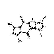 Cc1sc(C)c2c1C(=O)c1oc3c(Br)sc(Br)c3c1C2=O